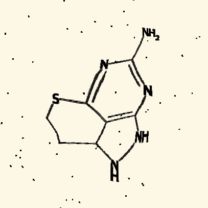 Nc1nc2c3c(n1)SCCC3NN2